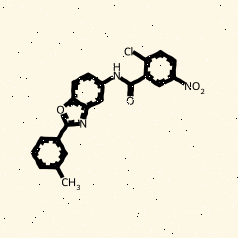 Cc1cccc(-c2nc3cc(NC(=O)c4cc([N+](=O)[O-])ccc4Cl)ccc3o2)c1